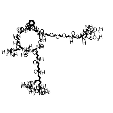 C/C(=N/O)C(C)(C)NCCC(CCNC(=O)CCCC(=O)NCCCC[C@@H]1NC(=O)CSC[C@@H](C(=O)NCCOCCOCCOCCNC(=O)COCC(=O)N[C@@H](CS(=O)(=O)O)C(=O)N[C@H](C(N)=O)S(=O)(=O)O)NC(=O)[C@H](Cc2ccccc2)NC(=O)[C@H](CS)NC(=O)[C@H](CC(=O)O)NC(=O)CNC(=O)[C@H](CCCNC(=N)N)NC(=O)[C@H](CS)NC1=O)CCNC(C)(C)/C(C)=N\O